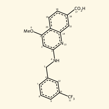 COc1cc(NCc2cccc(C(F)(F)F)c2)nc2cc(C(=O)O)ccc12